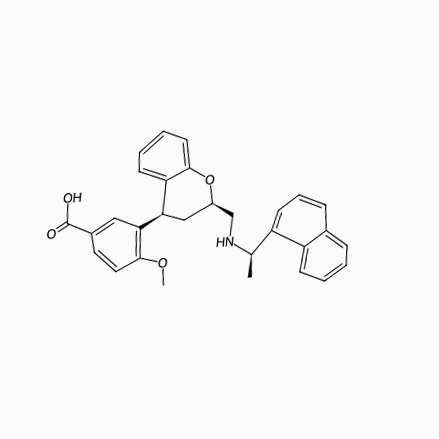 COc1ccc(C(=O)O)cc1[C@@H]1C[C@H](CN[C@H](C)c2cccc3ccccc23)Oc2ccccc21